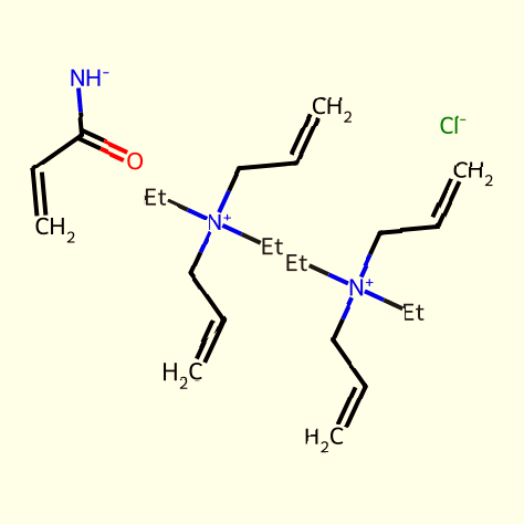 C=CC([NH-])=O.C=CC[N+](CC)(CC)CC=C.C=CC[N+](CC)(CC)CC=C.[Cl-]